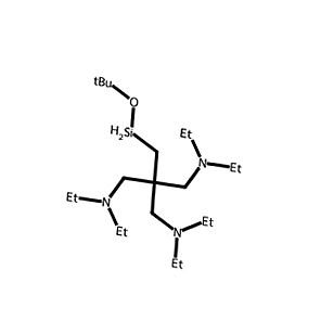 CCN(CC)CC(C[SiH2]OC(C)(C)C)(CN(CC)CC)CN(CC)CC